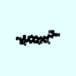 CC(C)[C@H](N)C(=O)OC1CCN(CCCC(N)(CCCCB(O)O)C(=O)O)CC1